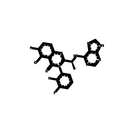 C[C@H](Nc1ncnc2[nH]cnc12)c1nc2ccc(F)c(Cl)c2c(=O)n1-c1cccc(F)c1F